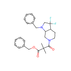 CC(C)(C(=O)OCc1ccccc1)C(=O)N1CCC2C(C1)N(Cc1ccccc1)CC2(F)F